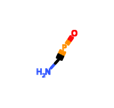 NC#P=O